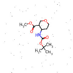 COC(=O)C1COCCC1NC(=O)OC(C)(C)C